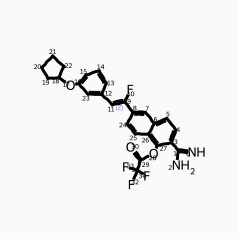 N=C(N)c1ccc2cc(/C(F)=C/c3cccc(OC4CCCC4)c3)ccc2c1OC(=O)C(F)(F)F